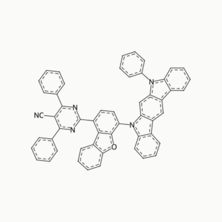 N#Cc1c(-c2ccccc2)nc(-c2ccc(-n3c4ccccc4c4cc5c6ccccc6n(-c6ccccc6)c5cc43)c3oc4ccccc4c23)nc1-c1ccccc1